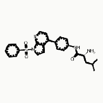 CC(C)C[C@@H](N)C(=O)Nc1ccc(-c2ccnc3c2ccn3S(=O)(=O)c2ccccc2)cc1